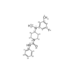 Cc1cc(F)cc(N(C)C2CCN(C(=O)Nc3ccccc3)CC2)c1